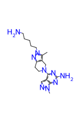 Cc1c2c(nn1CCCCCN)CCN(c1nc(N)nc3c1cnn3C)C2